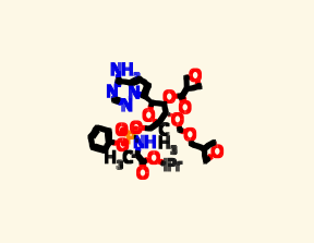 CC(C)OC(=O)[C@H](C)N[P@](=O)(OC[C@@]1(C)O[C@@H](c2ccc3c(N)ncnn23)[C@H](OC(=O)C2COC2)[C@@H]1OCOCC1COC1)Oc1ccccc1